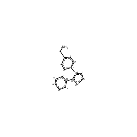 NCc1ccc(-n2ccnc2-c2ccccc2)cc1